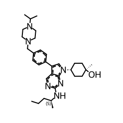 CCC[C@H](C)Nc1ncc2c(-c3ccc(CN4CCN(C(C)C)CC4)cc3)cn([C@H]3CC[C@](C)(O)CC3)c2n1